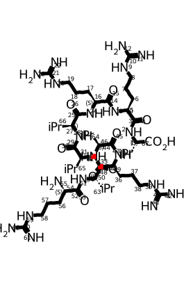 CC(C)[C@H](NC(=O)[C@H](CCCNC(=N)N)NC(=O)[C@H](CCCNC(=N)N)NC(=O)[C@@H](NC(=O)[C@@H](NC(=O)[C@H](CCCNC(=N)N)NC(=O)[C@@H](NC(=O)[C@@H](NC(=O)[C@@H](N)CCCNC(=N)N)C(C)C)C(C)C)C(C)C)C(C)C)C(=O)O